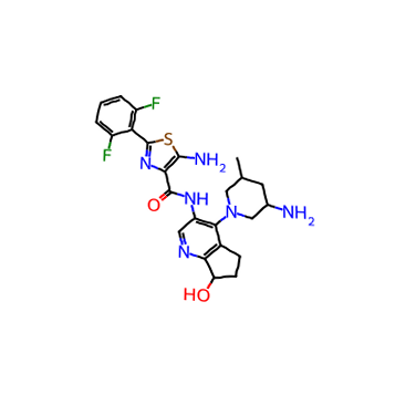 CC1CC(N)CN(c2c(NC(=O)c3nc(-c4c(F)cccc4F)sc3N)cnc3c2CCC3O)C1